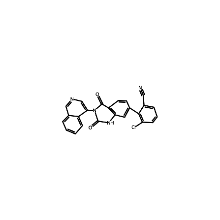 N#Cc1cccc(Cl)c1-c1ccc2c(=O)n(-c3cncc4ccccc34)c(=O)[nH]c2c1